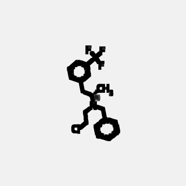 C[C@@H](Cc1cccc(C(F)(F)F)c1)N(CCCl)Cc1ccccc1